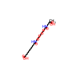 C[C@@H](CCCCNC(=O)CCOCCOCCOCCOCCNC(=O)CCCCCCCCCCCCCCC(=O)O)C(=O)O